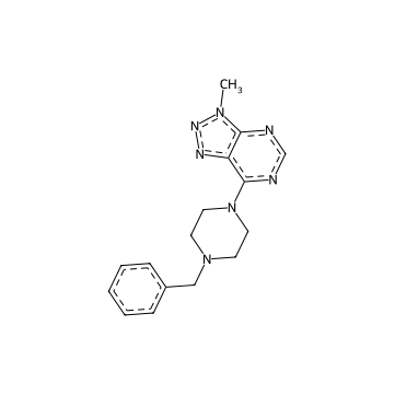 Cn1nnc2c(N3CCN(Cc4ccccc4)CC3)ncnc21